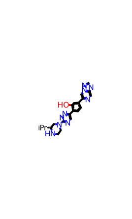 CC(C)[C@H]1CN(c2ncc(-c3ccc(-c4cn5ncnc5cn4)cc3O)nn2)CCN1